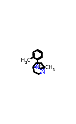 Cc1ccccc1N1C2CCCN(CC2)[C@@H]1C